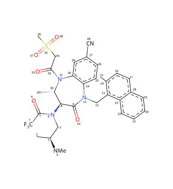 CN[C@@H](C)CN(C(=O)C(F)(F)F)[C@@H]1C(=O)N(Cc2c(C)ccc3ccccc23)c2ccc(C#N)cc2N(C(=O)CS(C)(=O)=O)[C@H]1C